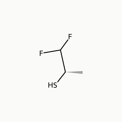 C[C@H](S)C(F)F